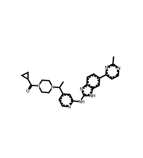 Cc1nccc(-c2ccc3nc(Nc4cc(C(C)N5CCN(C(=O)C6CC6)CC5)ccn4)[nH]c3c2)n1